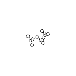 c1ccc(-c2cc(-c3cccc(-c4nc5ccccc5c5cc6c7ccccc7n(-c7ccccc7)c6cc45)c3)cc(-c3ccccc3)n2)cc1